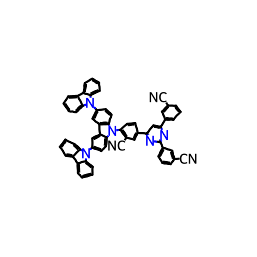 N#Cc1cccc(-c2cc(-c3ccc(-n4c5ccc(-n6c7ccccc7c7ccccc76)cc5c5cc(-n6c7ccccc7c7ccccc76)ccc54)c(C#N)c3)nc(-c3cccc(C#N)c3)n2)c1